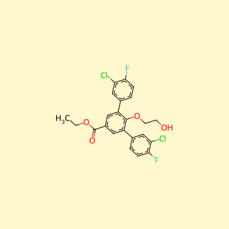 CCOC(=O)c1cc(-c2ccc(F)c(Cl)c2)c(OCCO)c(-c2ccc(F)c(Cl)c2)c1